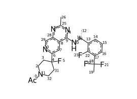 CC(=O)N1CCC(F)(c2cc3c(N[C@H](C)c4cccc(C(C)(F)F)c4F)nc(C)nc3cn2)CC1